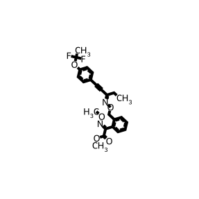 CC/C(C#Cc1ccc(OC(C)(F)F)cc1)=N\OCc1ccccc1/C(=N\OC)C(=O)OC